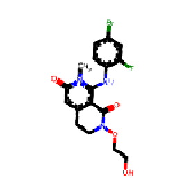 Cn1c(Nc2ccc(Br)cc2F)c2c(cc1=O)CCN(OCCO)C2=O